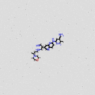 CC(C)C(=C/N)/C=C(\N)Nc1ccc2ncc(/C(C=N)=C/NCCC(C)N3CCOCC3)cc2n1